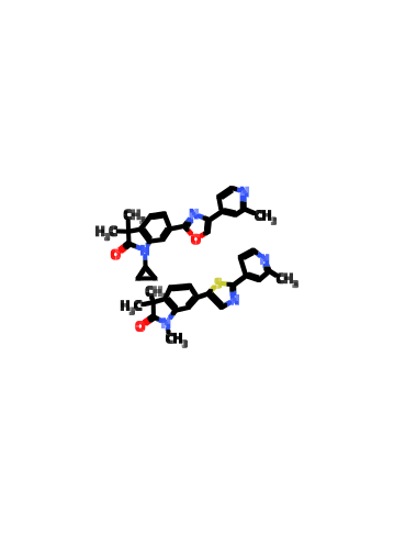 Cc1cc(-c2coc(-c3ccc4c(c3)N(C3CC3)C(=O)C4(C)C)n2)ccn1.Cc1cc(-c2ncc(-c3ccc4c(c3)N(C)C(=O)C4(C)C)s2)ccn1